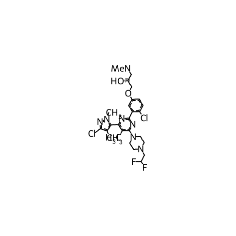 CNC[C@@H](O)COc1ccc(Cl)c(-c2nc(-c3c(C)c(Cl)nn3C)c(C)c(N3CCN(CC(F)F)CC3)n2)c1